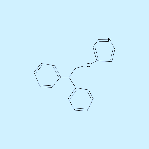 c1ccc(C(COc2ccncc2)c2ccccc2)cc1